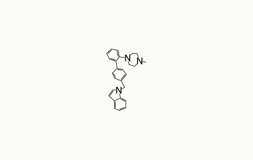 CN1CCN(c2ccccc2-c2ccc(Cn3ccc4ccccc43)cc2)CC1